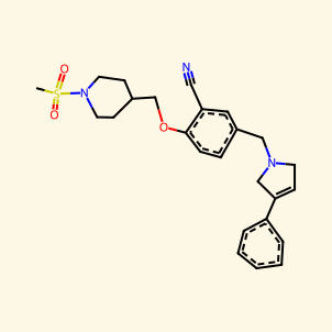 CS(=O)(=O)N1CCC(COc2ccc(CN3CC=C(c4ccccc4)C3)cc2C#N)CC1